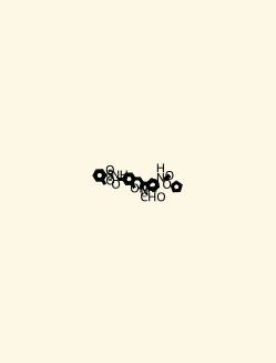 COc1cc(C(=O)NS(=O)(=O)c2ccccc2C)ccc1Cc1cn(C=O)c2ccc(NC(=O)OC3CCCC3)cc12